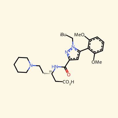 CCC(C)Cn1nc(C(=O)N[C@@H](CCN2CCCCC2)CC(=O)O)cc1-c1c(OC)cccc1OC